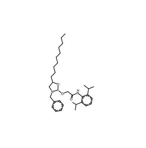 CCCCCCCCCCC1CN(Cc2ccccc2)P(OCC(=O)Nc2c(C(C)C)cccc2C(C)C)O1